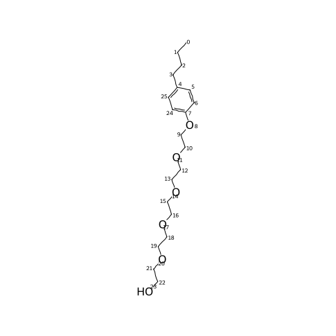 CCCCc1ccc(OCCOCCOCCOCCOCCO)cc1